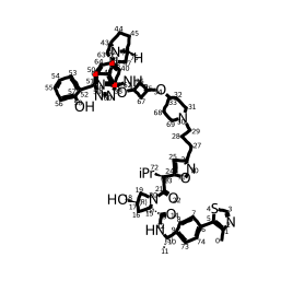 Cc1ncsc1-c1ccc([C@H](C)NC(=O)[C@@H]2C[C@@H](O)CN2C(=O)[C@H](c2cc(CCCN3CCC(OC4CC(Oc5cc(N6C7CC[C@@H]6CN(c6cc(-c8ccccc8O)nnc6N)C7)ccn5)C4)CC3)no2)C(C)C)cc1